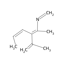 C=N/C(C)=C(\C=C/C)C(=C)C